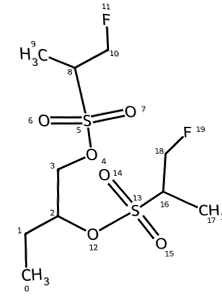 CCC(COS(=O)(=O)C(C)CF)OS(=O)(=O)C(C)CF